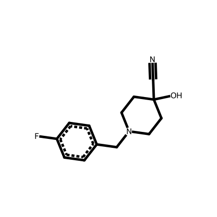 N#CC1(O)CCN(Cc2ccc(F)cc2)CC1